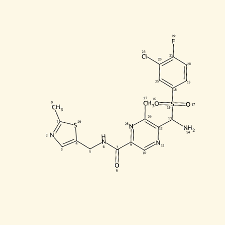 Cc1ncc(CNC(=O)c2cnc(C(N)S(=O)(=O)c3ccc(F)c(Cl)c3)c(C)n2)s1